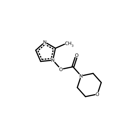 Cc1nccn1OC(=O)N1CCOCC1